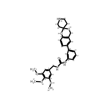 COc1cc(CNC(=O)Nc2cccc(-c3ccc4c(c3)COC3(CCNCC3)O4)c2)cc(OC)c1OC